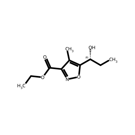 CCOC(=O)c1noc([C@H](O)CC)c1C